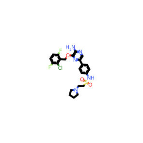 Nc1ncc(-c2ccc(NS(=O)(=O)CCN3CCCC3)cc2)nc1OCc1c(F)ccc(F)c1Cl